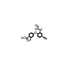 CC(NC=O)c1cc(C#N)ccc1Oc1ccc2c(c1)COB2O